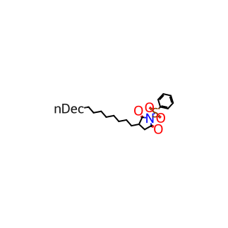 CCCCCCCCCCCCCCCCCCC1CC(=O)N(S(=O)(=O)c2ccccc2)C1=O